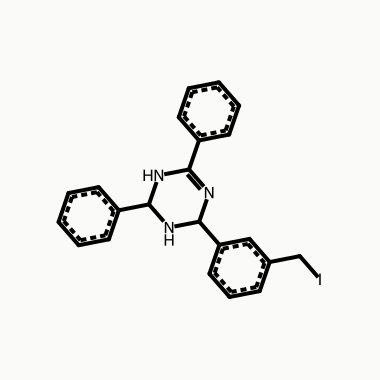 ICc1cccc(C2N=C(c3ccccc3)NC(c3ccccc3)N2)c1